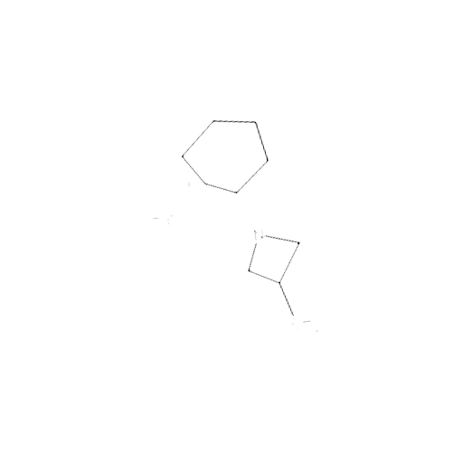 [CH2]C1CN([C@H]2CCCC[C@H]2C(F)(F)F)C1